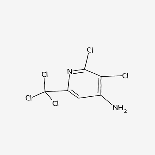 Nc1cc(C(Cl)(Cl)Cl)nc(Cl)c1Cl